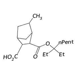 CCCCCC(CC)(CC)OC(=O)C1C2CC(CC2C)C1C(=O)O